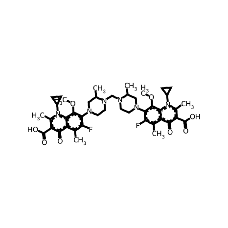 COc1c(N2CCN(CN3CCN(c4c(F)c(C)c5c(=O)c(C(=O)O)c(C)n(C6CC6)c5c4OC)CC3C)C(C)C2)c(F)c(C)c2c(=O)c(C(=O)O)c(C)n(C3CC3)c12